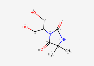 CC1(C)NC(=O)N(C(CO)CO)C1=O